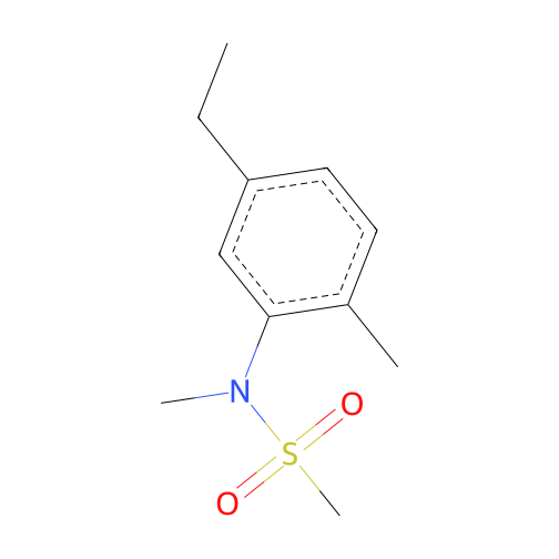 CCc1ccc(C)c(N(C)S(C)(=O)=O)c1